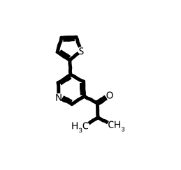 CC(C)C(=O)c1cncc(-c2cccs2)c1